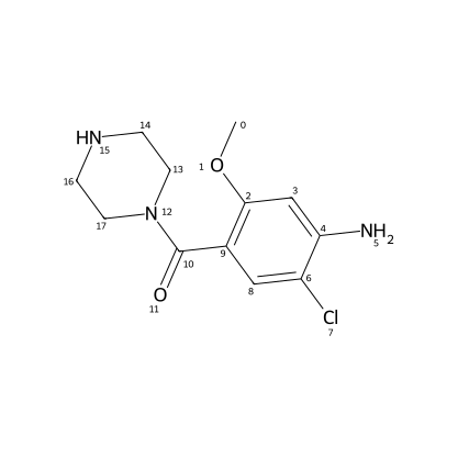 COc1cc(N)c(Cl)cc1C(=O)N1CCNCC1